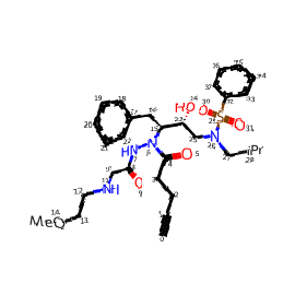 C#CCCC(=O)N(NC(=O)CNCCOC)[C@@H](Cc1ccccc1)[C@H](O)CN(CC(C)C)S(=O)(=O)c1ccccc1